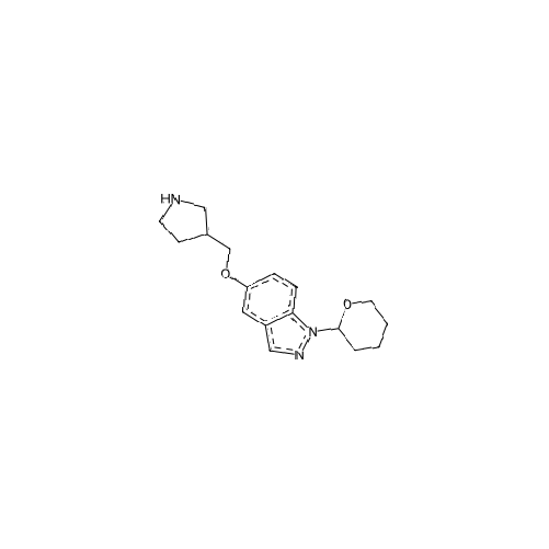 c1cc2c(cnn2C2CCCCO2)cc1OCC1CCNC1